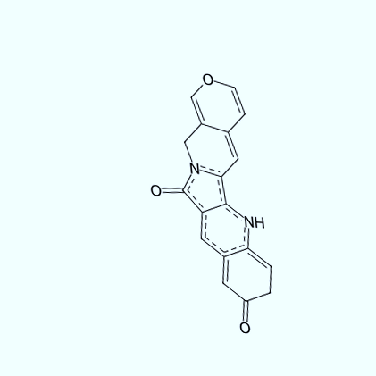 O=C1C=c2cc3c(=O)n4c(c-3[nH]c2=CC1)C=C1C=COC=C1C4